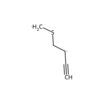 C#C[CH]CS[CH2]